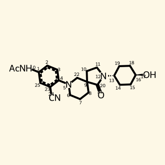 CC(=O)Nc1ccc(N2CCCC3(CCN([C@H]4CC[C@H](O)CC4)C3=O)C2)c(C#N)c1